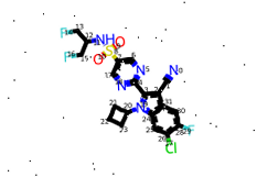 N#Cc1c(-c2ncc(S(=O)(=O)NC(CF)CF)cn2)n(C2CCC2)c2cc(Cl)c(F)cc12